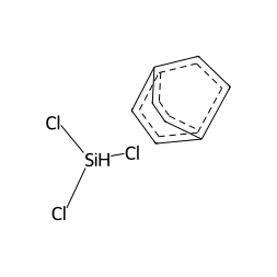 Cl[SiH](Cl)Cl.c1cc2ccc1cc2